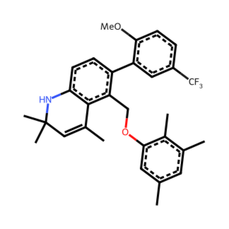 COc1ccc(C(F)(F)F)cc1-c1ccc2c(c1COc1cc(C)cc(C)c1C)C(C)=CC(C)(C)N2